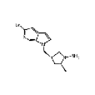 BN1C[C@H](Cn2ccc3cc(Br)ncc32)C[C@@H]1C